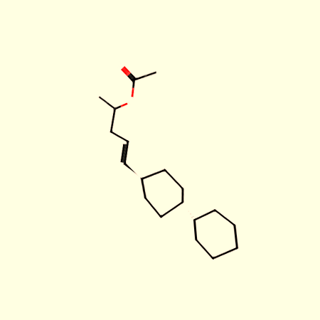 CCC(=O)OC(CC=C[C@H]1CC[C@H](C2CCCCC2)CC1)C(F)(F)F